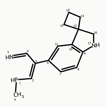 CP/C=C(\C=N)c1ccc2c(c1)C1(CCC1)CN2